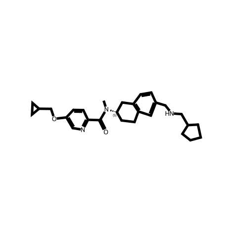 CN(C(=O)c1ccc(OCC2CC2)cn1)[C@H]1CCc2cc(CNCC3CCCC3)ccc2C1